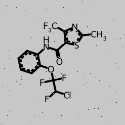 Cc1nc(C(F)(F)F)c(C(=O)Nc2ccccc2OC(F)(F)C(F)Cl)s1